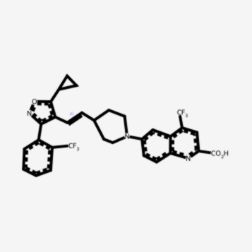 O=C(O)c1cc(C(F)(F)F)c2cc(N3CCC(/C=C/c4c(-c5ccccc5C(F)(F)F)noc4C4CC4)CC3)ccc2n1